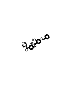 O=C(c1ccc2nc(-c3ccc(OCc4ccccc4)cc3O)[nH]c2c1)N1CCOCC1